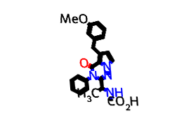 COc1cccc(Cc2ccn3nc(C(C)NC(=O)O)n(-c4ccccc4)c(=O)c23)c1